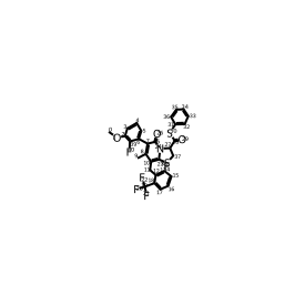 COc1cccc(-c2c(C)c(Cc3c(F)cccc3C(F)(F)F)c3n(c2=O)C(C(=O)Sc2ccccc2)CS3)c1F